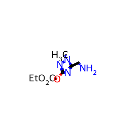 CCOC(=O)Oc1nc(CN)n(C)n1